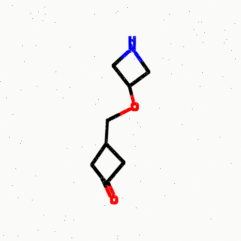 O=C1CC(COC2CNC2)C1